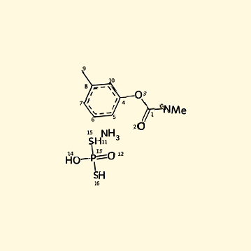 CNC(=O)Oc1cccc(C)c1.N.O=P(O)(S)S